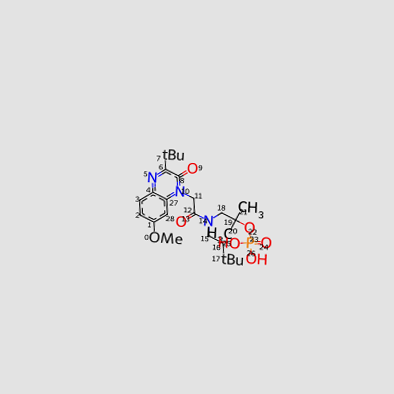 COc1ccc2nc(C(C)(C)C)c(=O)n(CC(=O)N(CCC(C)(C)C)CC(C)(C)OP(=O)(O)O)c2c1